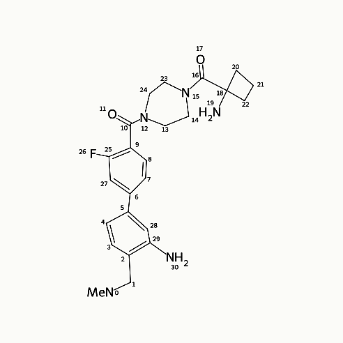 CNCc1ccc(-c2ccc(C(=O)N3CCN(C(=O)C4(N)CCC4)CC3)c(F)c2)cc1N